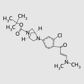 CN(C)/C=C/C(=O)c1ccc(N2C[C@@H]3C[C@H]2CN3C(=O)OC(C)(C)C)cc1Cl